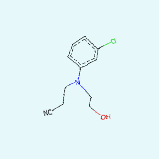 N#CCCN(CCO)c1cccc(Cl)c1